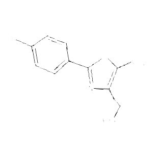 Cc1oc(-c2ccc(F)cc2)nc1CO